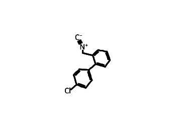 [C-]#[N+]Cc1ccccc1-c1ccc(Cl)cc1